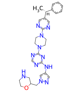 C[C@H](c1ccccc1)c1cnc(N2CCN(c3ncnc(Nc4cnn(CC5CNCCO5)c4)n3)CC2)nc1